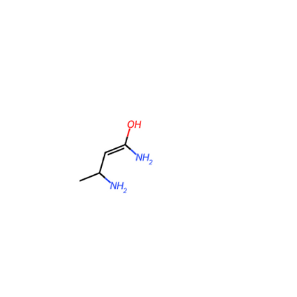 CC(N)/C=C(\N)O